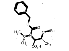 C[C@@H](OC(C)(C)C)[C@@H](C(=O)O)N(C(=O)OCc1ccccc1)[SiH](C)C